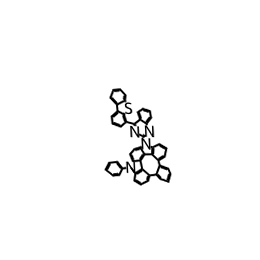 c1ccc(-n2c3cccc4c5ccccc5c5cccc6c5c5c(c43)c2ccc5n6-c2nc(-c3cccc4c3sc3ccccc34)c3ccccc3n2)cc1